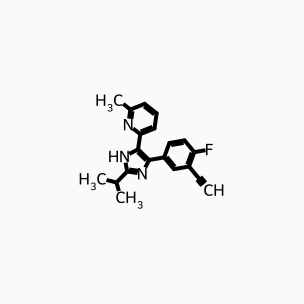 C#Cc1cc(-c2nc(C(C)C)[nH]c2-c2cccc(C)n2)ccc1F